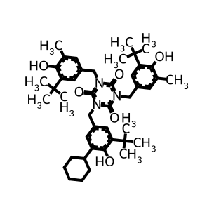 Cc1cc(Cn2c(=O)n(Cc3cc(C)c(O)c(C(C)(C)C)c3)c(=O)n(Cc3cc(C4CCCCC4)c(O)c(C(C)(C)C)c3)c2=O)cc(C(C)(C)C)c1O